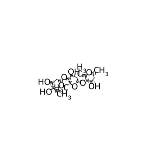 C[C@H]1C[C@H](O)[C@H](O[C@H]2C[C@H](O)[C@H](O[C@H]3C[C@H](O)[C@H](O)[C@@H](C)O3)[C@@H](C)O2)[C@@H](C)O1